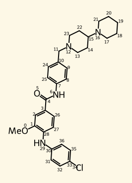 COc1cc(C(=O)Nc2ccc(CN3CCC(N4CCCCC4)CC3)cc2)ccc1Nc1ccc(Cl)cc1